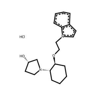 Cl.O[C@H]1CCN([C@H]2CCCC[C@@H]2OCCn2ccc3ccccc32)C1